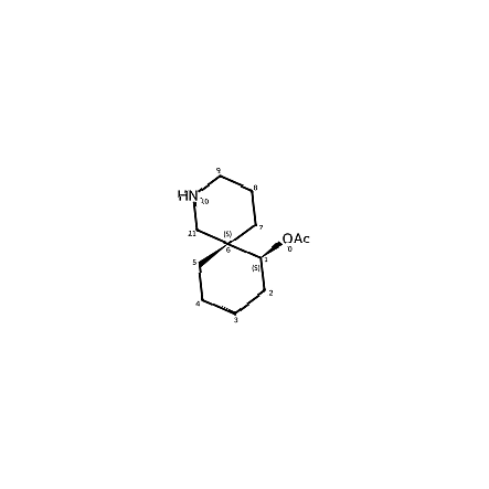 CC(=O)O[C@H]1CCCC[C@@]12CCCNC2